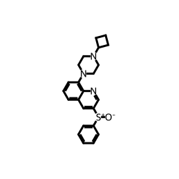 [O-][S+](c1ccccc1)c1cnc2c(N3CCN(C4CCC4)CC3)cccc2c1